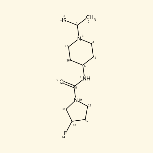 CC(S)N1CCC(NC(=O)N2CCC(F)C2)CC1